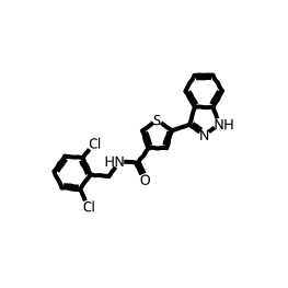 O=C(NCc1c(Cl)cccc1Cl)c1csc(-c2n[nH]c3ccccc23)c1